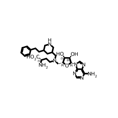 Nc1ncnc2c1ncn2[C@@H]1O[C@H](CN(CC[C@H](N)C(=O)O)CC2CNCC(CCc3ccccc3)C2)[C@@H](O)[C@H]1O